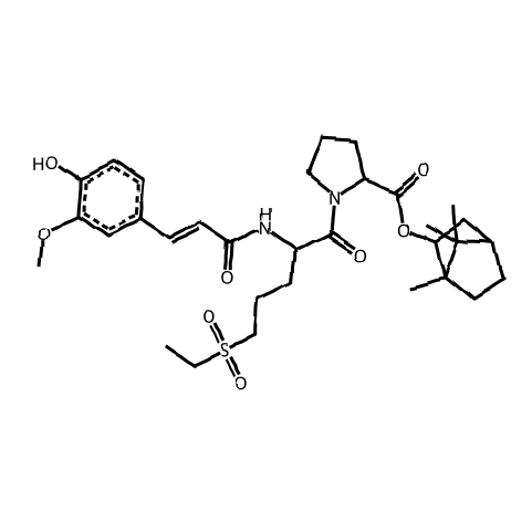 CCS(=O)(=O)CCCC(NC(=O)/C=C/c1ccc(O)c(OC)c1)C(=O)N1CCCC1C(=O)OC1CC2CCC1(C)C2(C)C